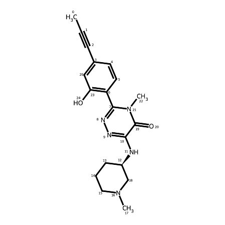 CC#Cc1ccc(-c2nnc(N[C@@H]3CCCN(C)C3)c(=O)n2C)c(O)c1